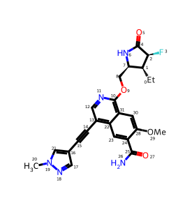 CC[C@@H]1[C@H](F)C(=O)N[C@@H]1COc1ncc(C#Cc2cnn(C)c2)c2cc(C(N)=O)c(OC)cc12